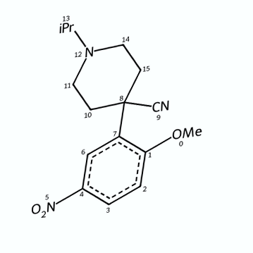 COc1ccc([N+](=O)[O-])cc1C1(C#N)CCN(C(C)C)CC1